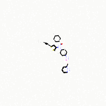 CC(C)(C)C#Cc1cc(N(C(=O)[C@H]2CC[C@H](C)CC2)C2CCC(=NOCc3ccccn3)CC2)c(C(=O)O)s1